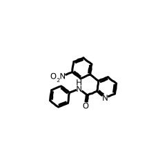 O=C(Nc1ccccc1)c1ncccc1-c1cccc([N+](=O)[O-])c1